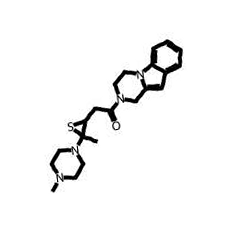 CN1CCN(C2(C)SC2CC(=O)N2CCn3c(cc4ccccc43)C2)CC1